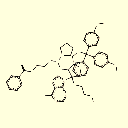 COCCOC1(n2cnc3c(N)ncnc32)CO[C@H](COC(c2ccccc2)(c2ccc(OC)cc2)c2ccc(OC)cc2)C1OP(SCCSC(=O)c1ccccc1)N1CCCC1